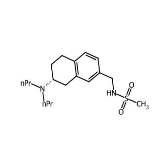 CCCN(CCC)[C@@H]1CCc2ccc(CNS(C)(=O)=O)cc2C1